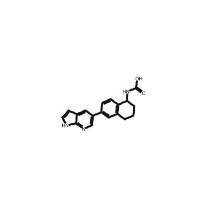 O=C(O)NC1CCCc2cc(-c3cnc4[nH]ccc4c3)ccc21